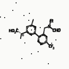 CCN(C=O)Cc1cc(C(F)(F)F)ccc1-c1cc(C)cc([C@H](C)C(=O)O)c1